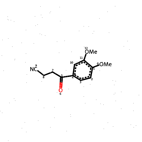 COc1ccc(C(=O)CCC#N)cc1OC